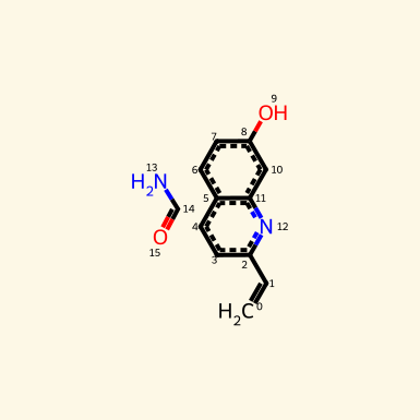 C=Cc1ccc2ccc(O)cc2n1.NC=O